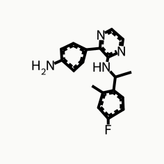 Cc1cc(F)ccc1C(C)Nc1nccnc1-c1ccc(N)cc1